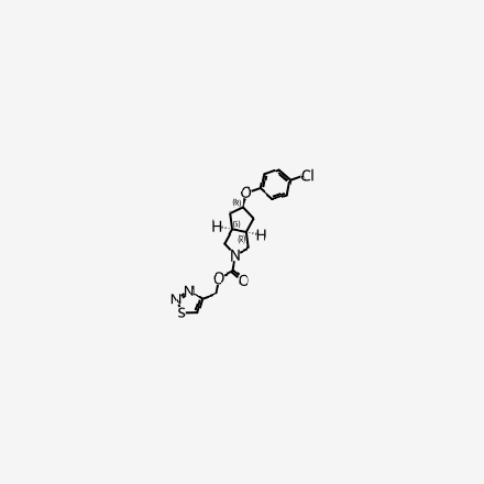 O=C(OCc1csnn1)N1C[C@H]2C[C@@H](Oc3ccc(Cl)cc3)C[C@H]2C1